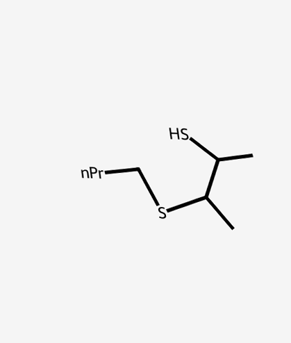 CCCCSC(C)C(C)S